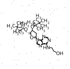 CC(C)(C)[Si](C)(C)OC[C@H]1O[C@@H](n2cnc3c(NCCO)ncnc32)CC1O[Si](C)(C)C(C)(C)C